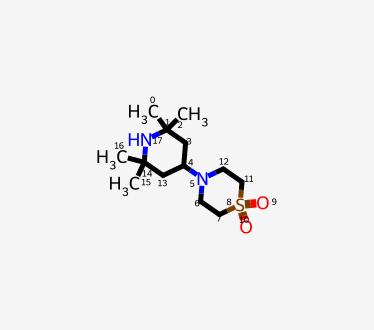 CC1(C)CC(N2CCS(=O)(=O)CC2)CC(C)(C)N1